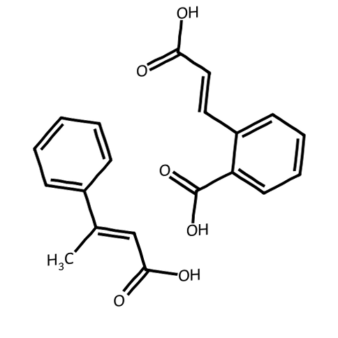 CC(=CC(=O)O)c1ccccc1.O=C(O)C=Cc1ccccc1C(=O)O